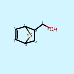 OCC1CC2C=CC1S2